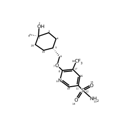 C[C@]1(O)CC[C@H](COc2ncc(S(N)(=O)=O)cc2C(F)(F)F)CC1